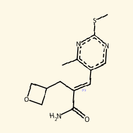 CSc1ncc(/C=C(\CC2COC2)C(N)=O)c(C)n1